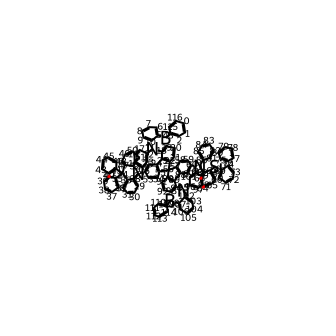 c1ccc(B2c3ccccc3N(c3ccccc3)c3c2ccc2c3-c3cc(N4c5ccccc5C(c5ccccc5)(c5ccccc5)c5ccccc54)ccc3C23c2ccc(N4c5ccccc5[Si](c5ccccc5)(c5ccccc5)c5ccccc54)cc2-c2c3ccc3c2N(c2ccccc2)c2ccccc2B3c2ccccc2)cc1